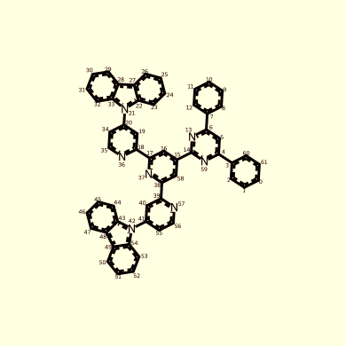 c1ccc(-c2cc(-c3ccccc3)nc(-c3cc(-c4cc(-n5c6ccccc6c6ccccc65)ccn4)nc(-c4cc(-n5c6ccccc6c6ccccc65)ccn4)c3)n2)cc1